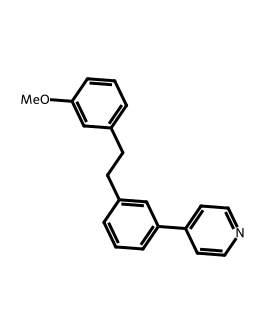 COc1cccc(CCc2cccc(-c3ccncc3)c2)c1